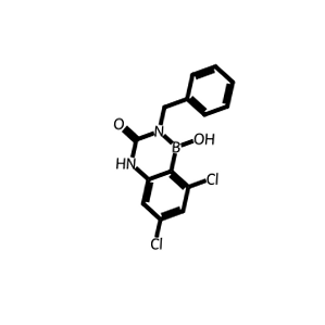 O=C1Nc2cc(Cl)cc(Cl)c2B(O)N1Cc1ccccc1